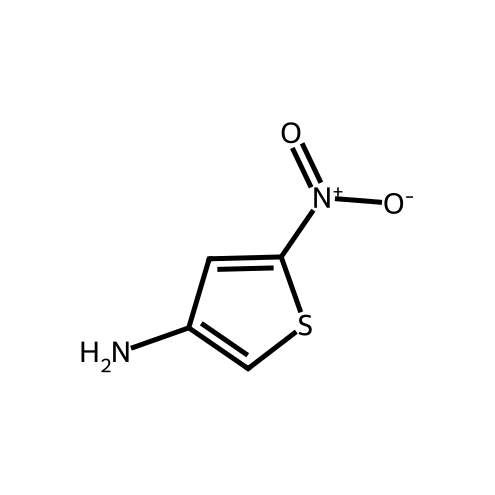 Nc1csc([N+](=O)[O-])c1